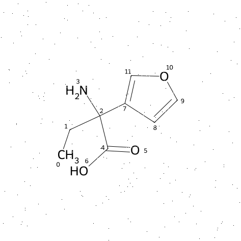 CCC(N)(C(=O)O)c1ccoc1